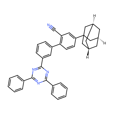 N#Cc1cc(C23C[C@H]4C[C@H](C2)C[C@@H](C3)C4)ccc1-c1cccc(-c2nc(-c3ccccc3)nc(-c3ccccc3)n2)c1